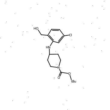 CC(C)(C)OC(=O)N1CCC(Nc2cc(Cl)ccc2CO)CC1